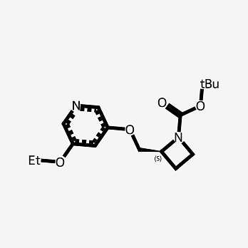 CCOc1cncc(OC[C@@H]2CCN2C(=O)OC(C)(C)C)c1